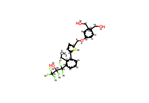 CCc1c(-c2ccc(COc3ccc(CO)c(CO)c3)s2)cccc1C(F)(F)C(O)(F)C(F)(F)F